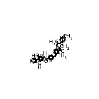 Cc1c(C)n(CC(C)CN2CCN(C)CC2)c2ccc(Cc3ccc(C(=O)Nc4cc(O)c(-c5ccncc5)c(O)c4)cc3)cc12